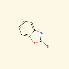 Brc1nc2ccccc2o1